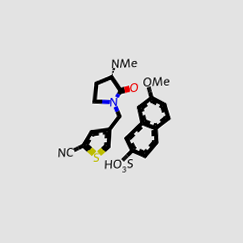 CN[C@H]1CCN(Cc2csc(C#N)c2)C1=O.COc1ccc2ccc(S(=O)(=O)O)cc2c1